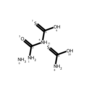 N.NC(=O)NC(O)=S.NC(O)=S